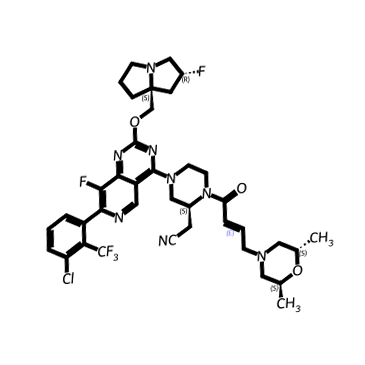 C[C@H]1CN(C/C=C/C(=O)N2CCN(c3nc(OC[C@@]45CCCN4C[C@H](F)C5)nc4c(F)c(-c5cccc(Cl)c5C(F)(F)F)ncc34)C[C@@H]2CC#N)C[C@H](C)O1